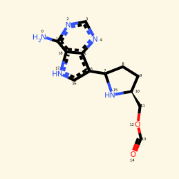 Nc1ncnc2c(C3CC[C@@H](COC=O)N3)c[nH]c12